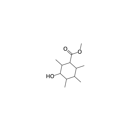 COC(=O)C1C(C)C(C)C(C)C(O)C1C